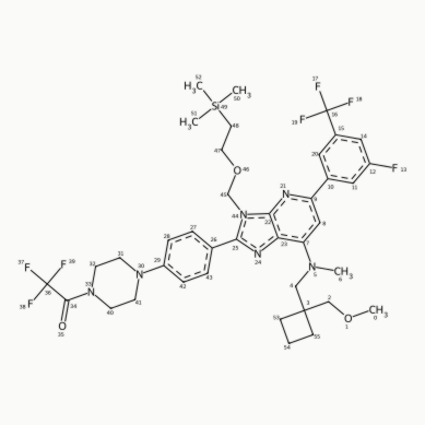 COCC1(CN(C)c2cc(-c3cc(F)cc(C(F)(F)F)c3)nc3c2nc(-c2ccc(N4CCN(C(=O)C(F)(F)F)CC4)cc2)n3COCC[Si](C)(C)C)CCC1